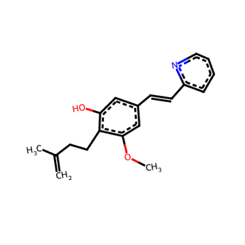 C=C(C)CCc1c(O)cc(/C=C/c2ccccn2)cc1OC